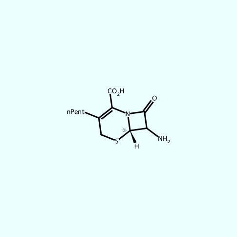 CCCCCC1=C(C(=O)O)N2C(=O)C(N)[C@@H]2SC1